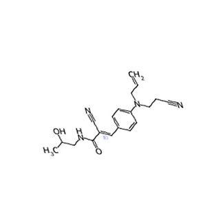 C=CCN(CCC#N)c1ccc(/C=C(\C#N)C(=O)NCC(C)O)cc1